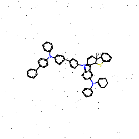 CC12C=Cc3c(c4cc(N(C5=CCCC=C5)c5ccccc5)ccc4n3-c3ccc(-c4ccc(N(c5ccccc5)c5ccc(-c6ccccc6)cc5)cc4)cc3)C1Sc1ccccc12